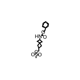 CS(=O)(=O)OCC1CC2(C1)CC(NC(=O)OCc1ccccc1)C2